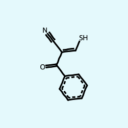 N#CC(=CS)C(=O)c1ccccc1